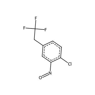 O=Nc1cc(CC(F)(F)F)ccc1Cl